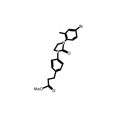 COC(=O)CCc1ccc(N2CCN(c3ccc(Br)cc3C)C2=O)cc1